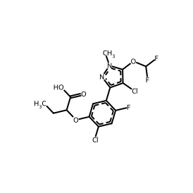 CCC(Oc1cc(-c2nn(C)c(OC(F)F)c2Cl)c(F)cc1Cl)C(=O)O